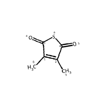 CC1=C(C)C(=O)SC1=O